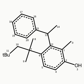 Cc1c(O)ccc(C(C)(C)CC(C)(C)C)c1C(C)c1ccccc1